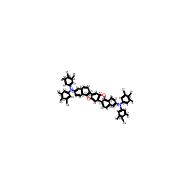 Cc1cc(N(c2cc(C)c(C)c(C)c2)c2ccc3c(ccc4c5cc6oc7c8ccc(N(c9cc(C)c(C)c(C)c9)c9cc(C)c(C)c(C)c9)cc8ccc7c6cc5oc34)c2)cc(C)c1C